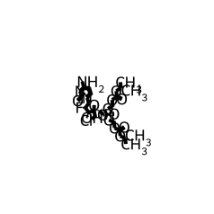 CC(C)OC(=O)OCOP(=O)(OCOC(=O)OC(C)C)OC[C@@]1(CCl)OC(n2ccc(N)nc2=O)[C@H](F)[C@@H]1O